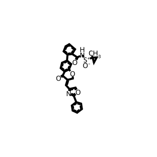 CC1([S+]([O-])NC(=O)c2ccccc2-c2ccc3c(c2)OC/C(=C\c2coc(-c4ccccc4)n2)C3=O)CC1